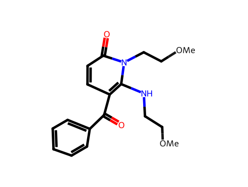 COCCNc1c(C(=O)c2ccccc2)ccc(=O)n1CCOC